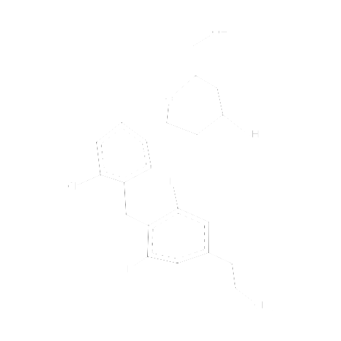 CCCc1cc(F)c(Cc2cc([C@H]3CC(O)C[C@@H](CO)O3)ccc2Cl)c(F)c1